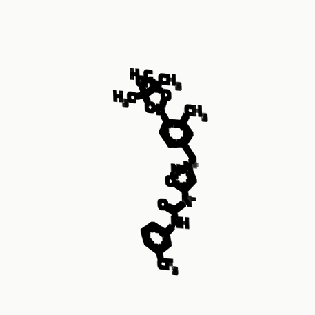 Cc1cc(C[n+]2cc([N-]C(=O)Nc3cccc(C(F)(F)F)c3)on2)ccc1B1OC(C)(C)C(C)(C)O1